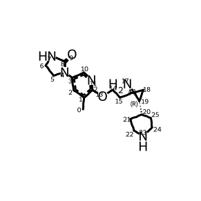 Cc1cc(N2CCNC2=O)cnc1OCC[C@]1(N)C[C@@H]1C1CCNCC1